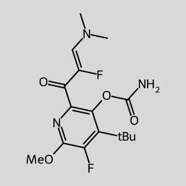 COc1nc(C(=O)C(F)=CN(C)C)c(OC(N)=O)c(C(C)(C)C)c1F